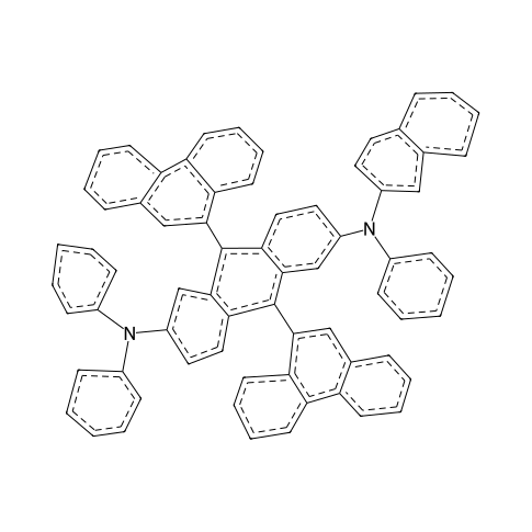 c1ccc(N(c2ccccc2)c2ccc3c(-c4cc5ccccc5c5ccccc45)c4cc(N(c5ccccc5)c5ccc6ccccc6c5)ccc4c(-c4cc5ccccc5c5ccccc45)c3c2)cc1